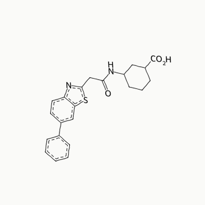 O=C(Cc1nc2ccc(-c3ccccc3)cc2s1)NC1CCCC(C(=O)O)C1